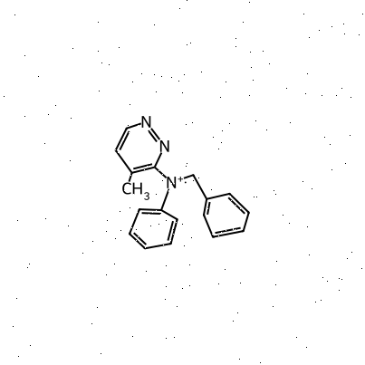 Cc1ccnnc1[N+](Cc1ccccc1)c1ccccc1